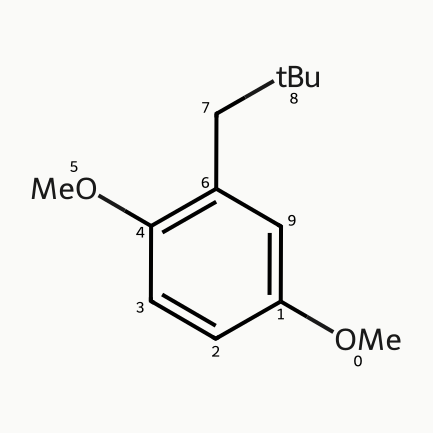 COc1ccc(OC)c(CC(C)(C)C)c1